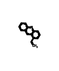 C=Cc1cccc2nc3ccccc3cc12